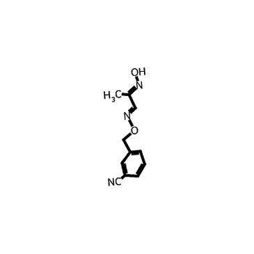 CC(/C=N/OCc1cccc(C#N)c1)=N\O